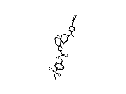 CCS(=O)(=O)c1ccc(CNC(=O)c2cc3c(s2)C2(CCN(C(C)c4ccc(C#N)cc4)CC2)OCC3)cc1